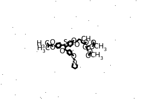 CC(=O)OCC(COC(C)=O)OC(=O)CC(C)CC(=O)Oc1ccc2c(C(=O)c3ccc(OCCN4CCCCC4)cc3)c(-c3ccc(OC(=O)C(C)C)cc3)sc2c1